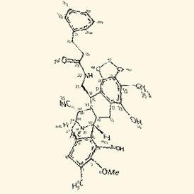 COc1c(C)cc2c(c1O)[C@H]1C3Cc4c(O)c(C)c5c(c4[C@H](CNC(=O)CCc4ccccc4)N3[C@@H](C#N)[C@H](C2)N1C)OCO5